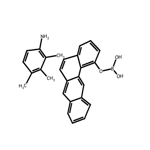 Cc1ccc(N)c(C)c1C.OB(O)Oc1cccc2ccc3cc4ccccc4cc3c12